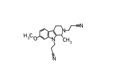 COc1ccc2c3c(n(CCC#N)c2c1)C(C)N(CCC#N)CC3